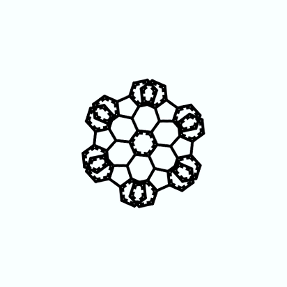 c1ccc2c(c1)-c1ccccc1C2c1c(C2c3ccccc3-c3ccccc32)c(C2c3ccccc3-c3ccccc32)c(C2c3ccccc3-c3ccccc32)c(C2c3ccccc3-c3ccccc32)c1C1c2ccccc2-c2ccccc21